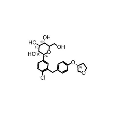 OCC1O[C@@H](c2ccc(Cl)c(Cc3ccc(O[C@@H]4CCOC4)cc3)c2)[C@H](O)[C@@H](O)[C@@H]1O